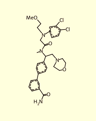 COCCN(CC(=O)N(C)C(CN1CCOCC1)c1ccc(-c2cccc(C(N)=O)c2)cc1)c1ccc(Cl)c(Cl)c1